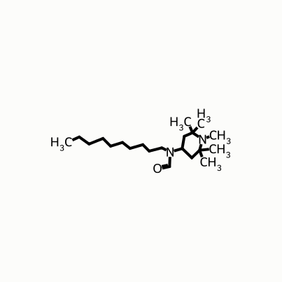 CCCCCCCCCCN(C=O)C1CC(C)(C)N(C)C(C)(C)C1